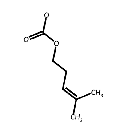 CC(C)=CCCOC([O])=O